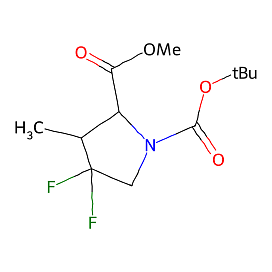 COC(=O)C1C(C)C(F)(F)CN1C(=O)OC(C)(C)C